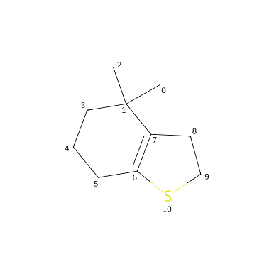 CC1(C)CCCC2=C1CCS2